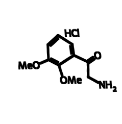 COc1cccc(C(=O)CN)c1OC.Cl